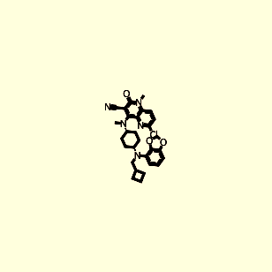 Cn1c(=O)c(C#N)c(N(C)[C@H]2CC[C@@H](N(CC3CCC3)c3cccc4c3OCO4)CC2)c2nc(Cl)ccc21